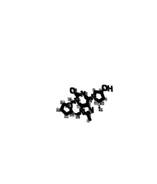 Cc1nc2c(N3C[C@H](O)C[C@@H]3C)nc(=O)n(C)c2n1C[C@@H]1CCCO1